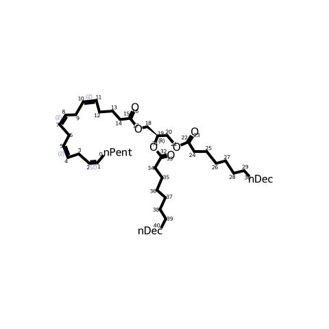 CCCCC/C=C\C/C=C\C/C=C\C/C=C\CCCC(=O)OC[C@@H](COC(=O)CCCCCCCCCCCCCCCC)OC(=O)CCCCCCCCCCCCCCCC